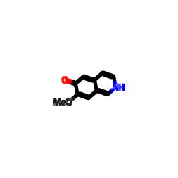 COc1cc2c[nH]ccc-2cc1=O